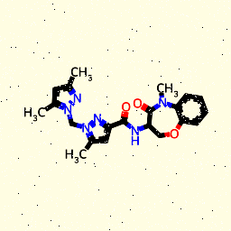 Cc1cc(C)n(Cn2nc(C(=O)NC3COc4ccccc4N(C)C3=O)cc2C)n1